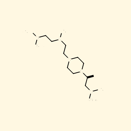 CCCCCCCCCN(CCCCCCCCC)CCN(CCCCCCCCC)CCN1CCN(C(=O)CN(CCCCCCCCC)CCCCCCCCC)CC1